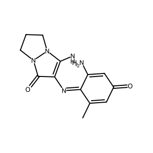 CC1=CC(=O)C=C(N)/C1=N\c1c(N)n2n(c1=O)CCC2